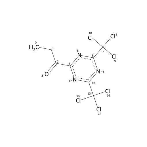 CCC(=O)c1nc(C(Cl)(Cl)Cl)nc(C(Cl)(Cl)Cl)n1